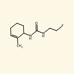 CC1=CCCCC1NC(=O)NCCF